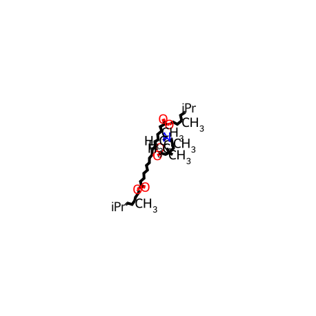 CC(C)CCC(C)CCOC(=O)CCCCCCCC(CCCCCCCC(=O)OCCC(C)CCC(C)C)OC(=O)CC(C)(C)CC(C)(C)CN(C)C